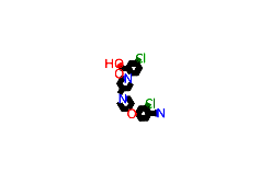 N#Cc1ccc(OC2CCN(CC3CCN(c4ccc(Cl)cc4C(=O)O)CC3)CC2)cc1Cl